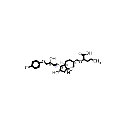 CCCC(OC[C@@H]1CC[C@@H]2[C@@H](/C=C/[C@@H](O)COc3ccc(Cl)cc3)[C@H](O)C[C@@H]2OC1)C(=O)O